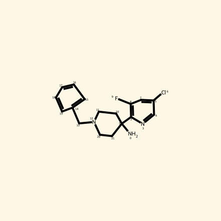 NC1(c2ncc(Cl)cc2F)CCN(Cc2ccccc2)CC1